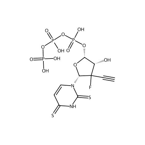 C#CC1(F)[C@@H](O)[C@@H](OP(=O)(O)OP(=O)(O)OP(=O)(O)O)O[C@H]1n1ccc(=S)[nH]c1=S